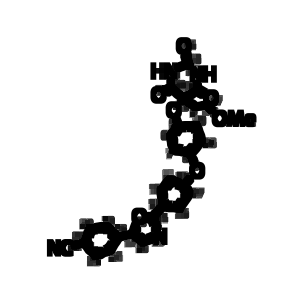 COCCC1(Oc2ccc(Oc3ccc(-c4ncc(-c5ccc(C#N)cc5)o4)cc3)cc2)C(=O)NC(=O)NC1=O